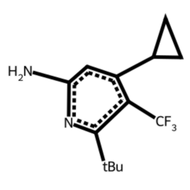 CC(C)(C)c1nc(N)cc(C2CC2)c1C(F)(F)F